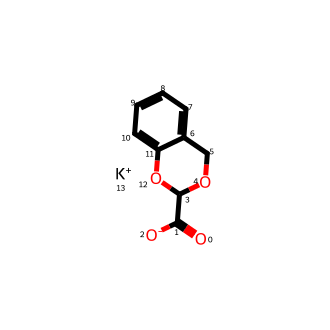 O=C([O-])C1OCc2ccccc2O1.[K+]